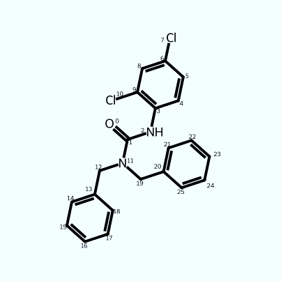 O=C(Nc1ccc(Cl)cc1Cl)N(Cc1ccccc1)Cc1ccccc1